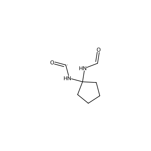 O=[C]NC1(NC=O)CCCC1